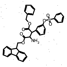 NC(C(=O)OCC1c2ccccc2-c2ccccc21)C(C(=O)OCc1ccccc1)c1cccc(OS(=O)(=O)c2ccccc2)c1